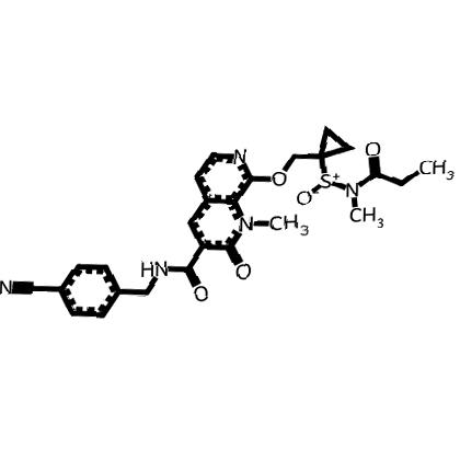 CCC(=O)N(C)[S+]([O-])C1(COc2nccc3cc(C(=O)NCc4ccc(C#N)cc4)c(=O)n(C)c23)CC1